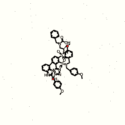 COc1ccc(CN(Cc2ccc(OC)cc2)S(=O)(=O)c2c(S(=O)(=O)N[C@H](C)CN(Cc3ccccc3)C(=O)O)ccc(-c3cccc4[nH]c(N)nc34)c2-c2nnn(Cc3ccc(OC)cc3)n2)cc1